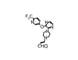 O=CC=CN1CCN(c2nccnc2Oc2ccc(C(F)(F)F)nc2)CC1